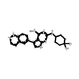 CCC1(O)CCC(Nc2nc(OC)c3c(-c4ccc5nnccc5c4)c[nH]c3n2)CC1